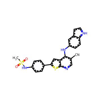 CS(=O)(=O)Nc1ccc(-c2cc3c(Nc4ccc5[nH]ccc5c4)c(C#N)cnc3s2)cc1